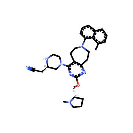 Cc1cccc2cccc(N3CCc4nc(OC[C@@H]5CCCN5C)nc(N5CCN[C@H](CC#N)C5)c4CC3)c12